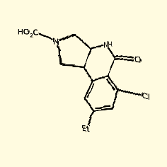 CCc1cc(Cl)c2c(c1)C1CN(C(=O)O)CC1NC2=O